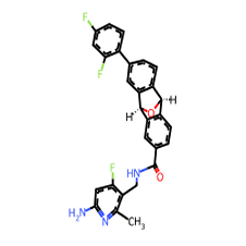 Cc1nc(N)cc(F)c1CNC(=O)c1ccc2c(c1)[C@@H]1O[C@H]2c2ccc(-c3ccc(F)cc3F)cc21